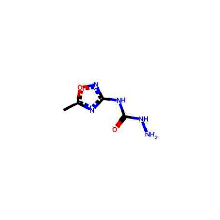 Cc1nc(NC(=O)NN)no1